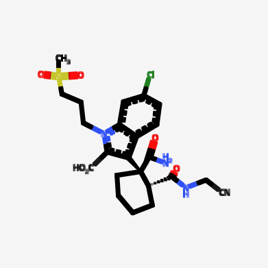 CS(=O)(=O)CCCn1c(C(=O)O)c([C@]2(C(N)=O)CCCC[C@H]2C(=O)NCC#N)c2ccc(Cl)cc21